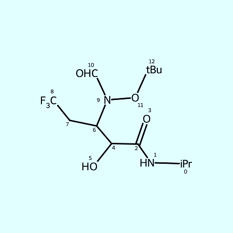 CC(C)NC(=O)C(O)C(CC(F)(F)F)N(C=O)OC(C)(C)C